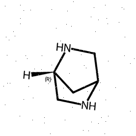 C1N[C@H]2CNC1C2